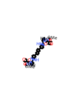 COC(=O)N[C@H](C(=O)N1C(c2nc3ccc(-c4ccc5cc(-c6ccc7nc([C@@H]8C[C@H]9C[C@H]9N8C(=O)[C@@H](NC(=O)OC)C8CCOCC8)[nH]c7c6)ccc5c4)cc3[nH]2)C[C@H]2C[C@H]21)C1CCOCC1